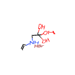 Br.C=CNCC(O)(O)O